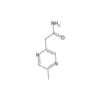 Cc1cnc(CC(N)=O)cn1